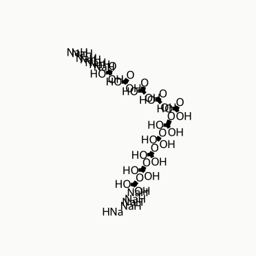 O=C(O)O.O=C(O)O.O=C(O)O.O=C(O)O.O=C(O)O.O=C(O)O.O=C(O)O.O=C(O)O.O=C(O)O.O=C(O)O.[NaH].[NaH].[NaH].[NaH].[NaH].[NaH].[NaH].[NaH].[NaH].[NaH].[NaH].[NaH]